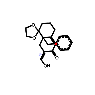 O=C1C=C2CCCC3(OCCO3)C2(Cc2ccccc2)C/C1=C/O